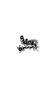 CC[C@H](C)[C@@H]([C@@H](CC(=O)N1CCC[C@H]1[C@H](OC)[C@@H](C)C(=O)NC(CC1C=CC=CC1)C(=O)OC)OC)N(C)C(=O)[C@@H](NC(=O)[C@H](C(C)C)N(C)CCCOCCOCCC(=O)Oc1c(F)c(F)cc(F)c1F)C(C)C